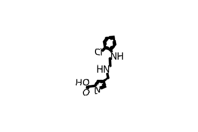 Cn1cc(CNCCNc2ccccc2Cl)cc1C(=O)O